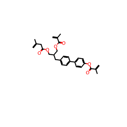 C=C(C)CC(=O)OCC(COC(=O)C(=C)C)Cc1ccc(-c2ccc(OC(=O)C(=C)C)cc2)cc1